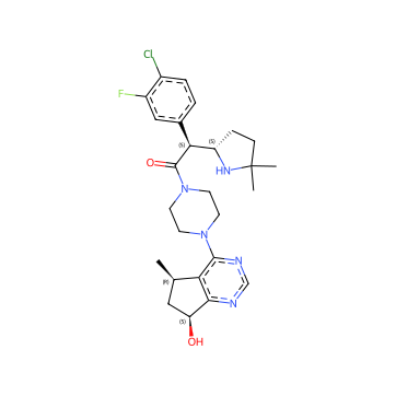 C[C@@H]1C[C@H](O)c2ncnc(N3CCN(C(=O)[C@@H](c4ccc(Cl)c(F)c4)[C@@H]4CCC(C)(C)N4)CC3)c21